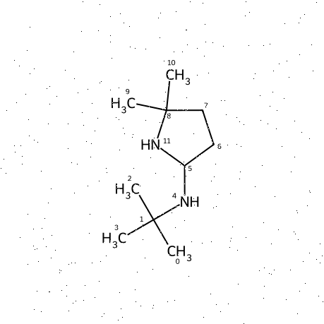 CC(C)(C)NC1CCC(C)(C)N1